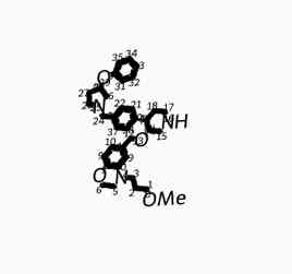 COCCCN1CCOc2ccc(CO[C@H]3CNCC[C@@H]3c3ccc(CN4CC[C@@H](Oc5ccccc5)C4)cc3)cc21